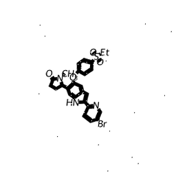 CCS(=O)(=O)c1ccc(Oc2cc3cc(-c4ccc(Br)cn4)[nH]c3cc2C2CCC(=O)N2C)cc1